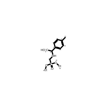 CCOP(=O)(CNC(C(=O)O)c1ccc(C)cc1)OCC